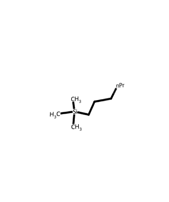 CCCCCC[Si](C)(C)C